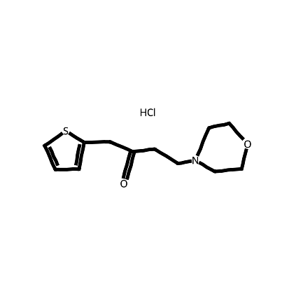 Cl.O=C(CCN1CCOCC1)Cc1cccs1